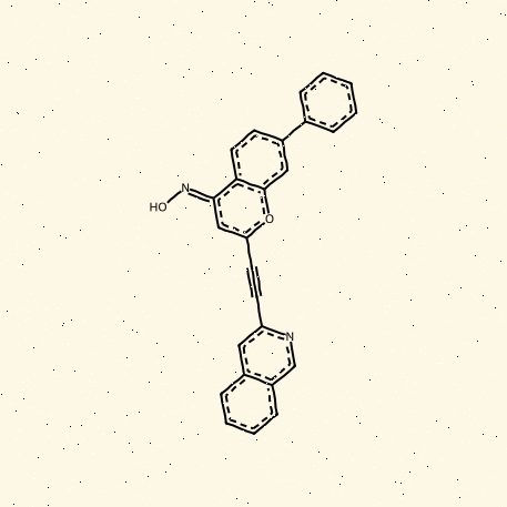 ON=c1cc(C#Cc2cc3ccccc3cn2)oc2cc(-c3ccccc3)ccc12